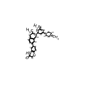 CC1Cc2ccc(-c3ccc4c(c3)NC(=O)CO4)cc2CN1c1cc(N2CCN(C)CC2)nc(N)n1